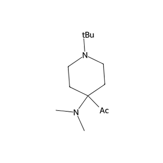 CC(=O)C1(N(C)C)CCN(C(C)(C)C)CC1